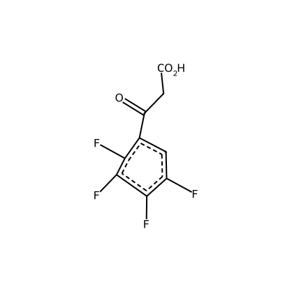 O=C(O)CC(=O)c1cc(F)c(F)c(F)c1F